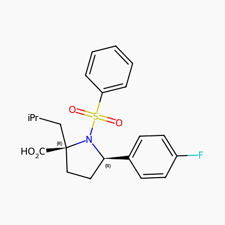 CC(C)C[C@@]1(C(=O)O)CC[C@H](c2ccc(F)cc2)N1S(=O)(=O)c1ccccc1